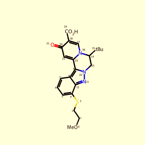 COCCSc1cccc2c3n(nc12)CC(C(C)(C)C)n1cc(C(=O)O)c(=O)cc1-3